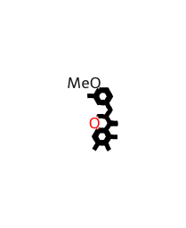 C=C1c2c(cc(C)c(C)c2C)OCC1Cc1ccc(OC)c(C)c1